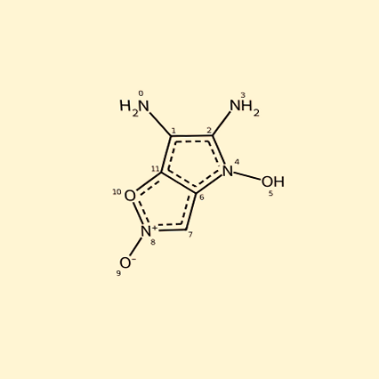 Nc1c(N)n(O)c2c[n+]([O-])oc12